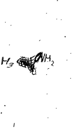 CC(C)(C)[Si](C)(C)OCCOc1cc(-c2cc(N)ccc2F)cc(Cl)n1